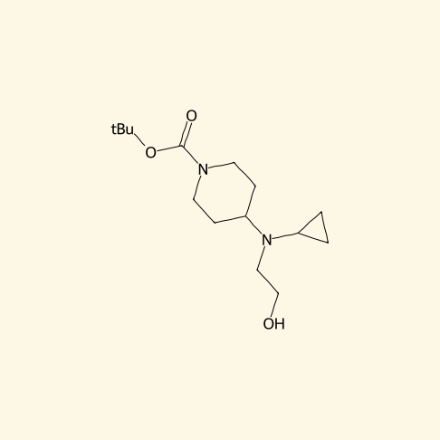 CC(C)(C)OC(=O)N1CCC(N(CCO)C2CC2)CC1